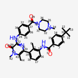 Cc1c(NC(=O)c2ccc(C(C)(C)C)cc2)cccc1-c1nc(Nc2ccc(C(=O)N3CCN(C)CC3)cc2)c(=O)n(C)c1C